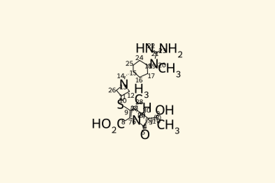 C[C@@H](O)[C@H]1C(=O)N2C(C(=O)O)=C(SC3CN(C[C@H]4CC[C@@H](N(C)C(=N)N)CC4)C3)[C@H](C)[C@H]12